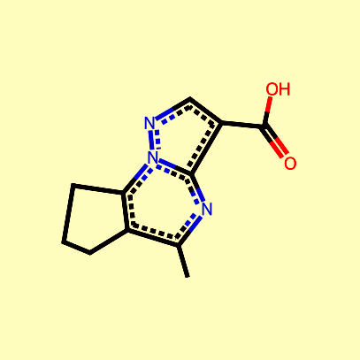 Cc1nc2c(C(=O)O)cnn2c2c1CCC2